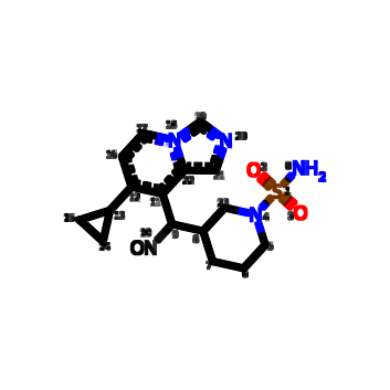 NS(=O)(=O)N1CCCC(C(N=O)c2c(C3CC3)ccn3cncc23)C1